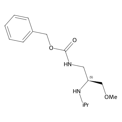 COC[C@H](CNC(=O)OCc1ccccc1)NC(C)C